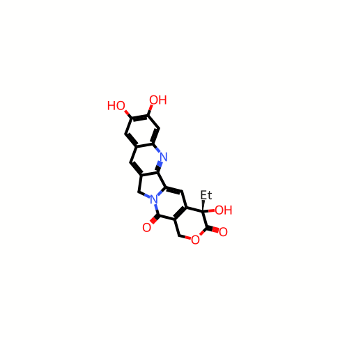 CC[C@@]1(O)C(=O)OCc2c1cc1n(c2=O)Cc2cc3cc(O)c(O)cc3nc2-1